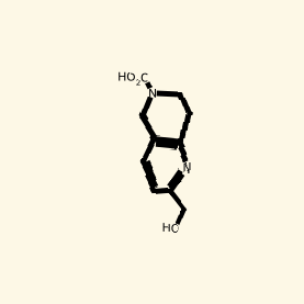 O=C(O)N1CCc2nc(CO)ccc2C1